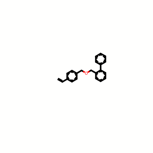 C=Cc1ccc(COCc2ccccc2-c2ccccc2)cc1